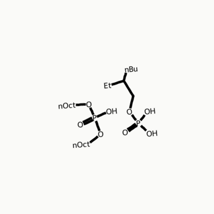 CCCCC(CC)COP(=O)(O)O.CCCCCCCCOP(=O)(O)OCCCCCCCC